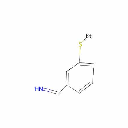 CCSc1cccc(C=N)c1